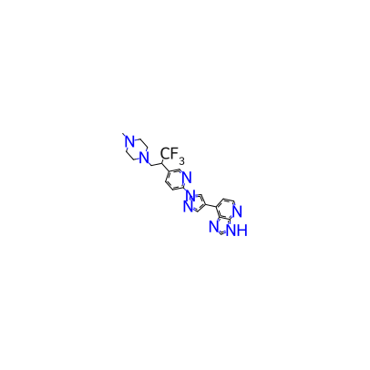 CN1CCN(CC(c2ccc(-n3cc(-c4ccnc5[nH]cnc45)cn3)nc2)C(F)(F)F)CC1